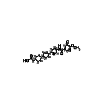 COc1ncc(C(=O)Nc2ccc(-c3ccc(C4CCC(CC(=O)O)CC4)cc3)nc2)cc1Cl